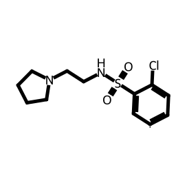 O=S(=O)(NCCN1CCCC1)c1c[c]ccc1Cl